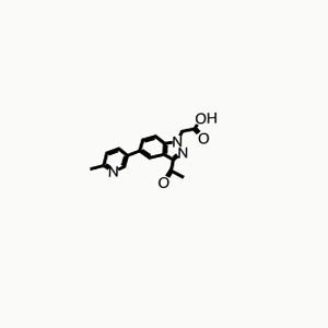 CC(=O)c1nn(CC(=O)O)c2ccc(-c3ccc(C)nc3)cc12